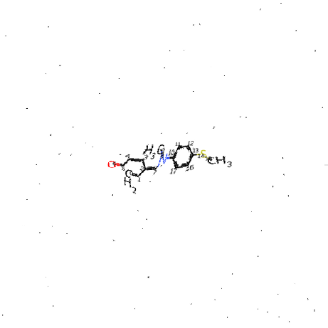 C=CC(/C=C\C=O)=C/N(C)c1ccc(SC)cc1